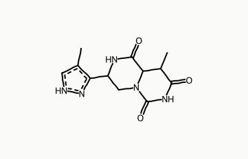 Cc1c[nH]nc1C1CN2C(=O)NC(=O)C(C)C2C(=O)N1